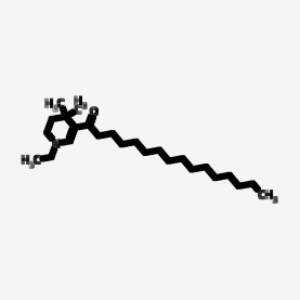 CCCCCCCCCCCCCCCC(=O)C1=CN(CC)CCC1(C)C